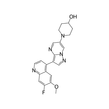 COc1cc2c(-c3cnn4cc(N5CCC(O)CC5)cnc34)ccnc2cc1F